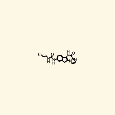 O=C(NCCCl)Nc1ccc2c(c1)Cc1c-2[nH]c(=O)c2nccn12